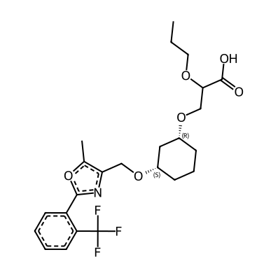 CCCOC(CO[C@@H]1CCC[C@H](OCc2nc(-c3ccccc3C(F)(F)F)oc2C)C1)C(=O)O